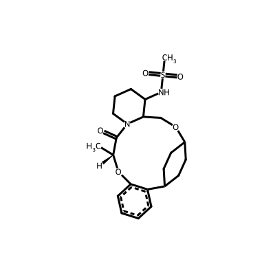 C[C@H]1Oc2ccccc2C2CCC(CC2)OCC2C(NS(C)(=O)=O)CCCN2C1=O